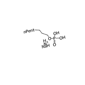 CCCCCCCCOP(=O)(O)O.N.[NaH]